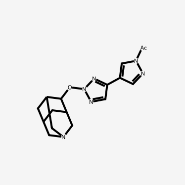 CC(=O)n1cc(-c2cnn(OC3C4CC5CC3CN(C5)C4)n2)cn1